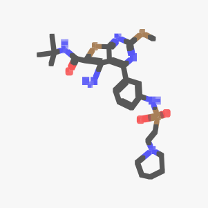 CSc1nc(-c2cccc(NS(=O)(=O)CCN3CCCCC3)c2)c2c(N)c(C(=O)NC(C)(C)C)sc2n1